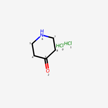 Cl.Cl.O=C1CCNCC1